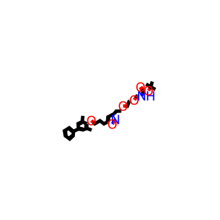 Cc1cc(-c2ccccc2)cc(C)c1OCCCc1cc(CCOCCOCNC(=O)OC(C)(C)C)no1